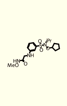 CONC(=O)CNc1cccc(S(=O)(=O)N(OC2CCCC2)C(C)C)c1